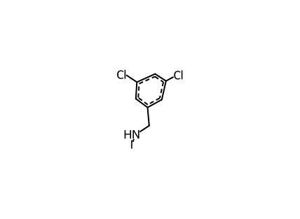 Clc1cc(Cl)cc(CNI)c1